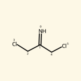 N=C(CCl)CCl